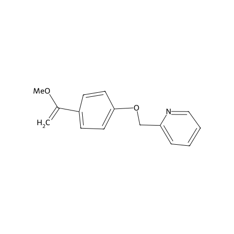 C=C(OC)c1ccc(OCc2ccccn2)cc1